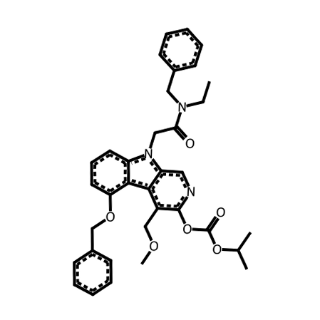 CCN(Cc1ccccc1)C(=O)Cn1c2cccc(OCc3ccccc3)c2c2c(COC)c(OC(=O)OC(C)C)ncc21